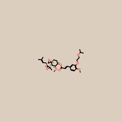 COc1ccc(/C=C/C(=O)O[C@@H]2CC[C@]3(CO3)[C@@H](C3(C)O[C@H]3CC=C(C)C)[C@@H]2OC)cc1OCCOC(C)C